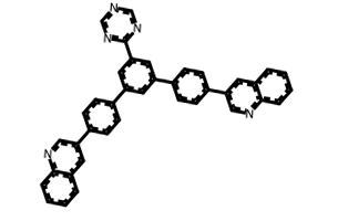 c1ccc2ncc(-c3ccc(-c4cc(-c5ccc(-c6cnc7ccccc7c6)cc5)cc(-c5ncncn5)c4)cc3)cc2c1